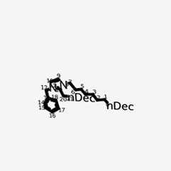 CCCCCCCCCCCCCCCCC[n+]1ccn(Cc2ccccc2)c1CCCCCCCCCCC